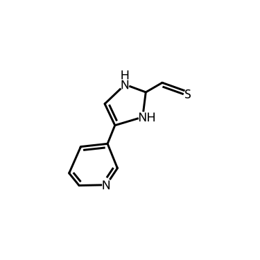 S=CC1NC=C(c2cccnc2)N1